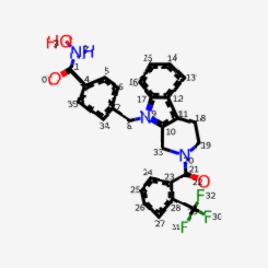 O=C(NO)c1ccc(Cn2c3c(c4ccccc42)CCN(C(=O)c2ccccc2C(F)(F)F)C3)cc1